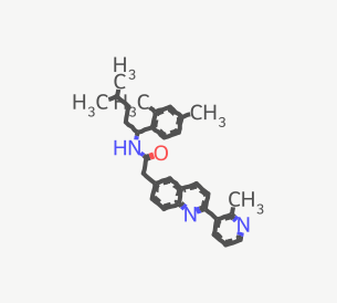 Cc1ccc(C(CCC(C)C)NC(=O)Cc2ccc3nc(-c4cccnc4C)ccc3c2)c(C)c1